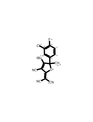 CC(C)(C)C1=C(C#N)C(=C(C#N)C#N)OC1(C)c1ccc(F)c(Cl)c1